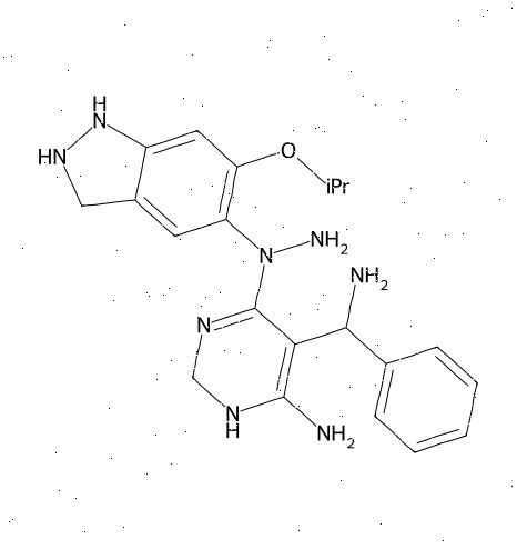 CC(C)Oc1cc2c(cc1N(N)C1=NCNC(N)=C1C(N)c1ccccc1)CNN2